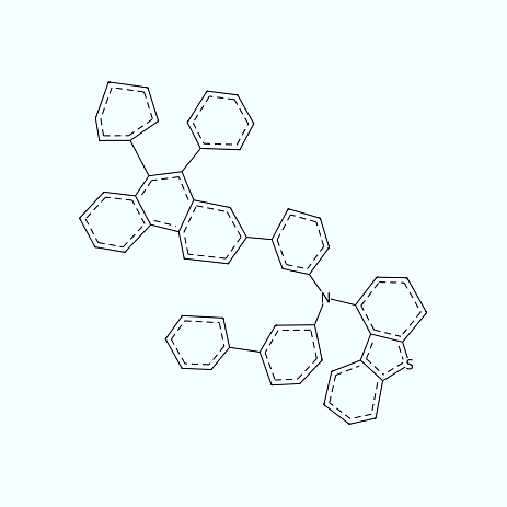 c1ccc(-c2cccc(N(c3cccc(-c4ccc5c(c4)c(-c4ccccc4)c(-c4ccccc4)c4ccccc45)c3)c3cccc4sc5ccccc5c34)c2)cc1